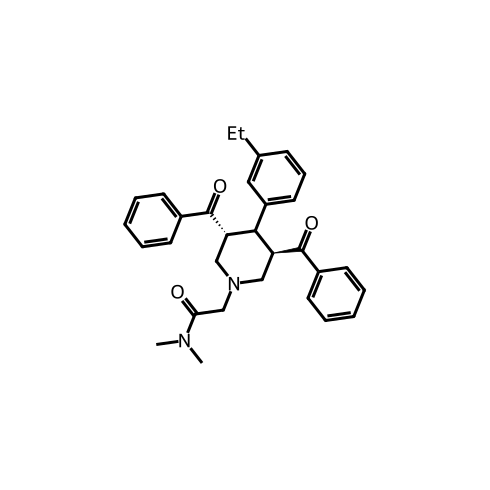 CCc1cccc(C2[C@@H](C(=O)c3ccccc3)CN(CC(=O)N(C)C)C[C@@H]2C(=O)c2ccccc2)c1